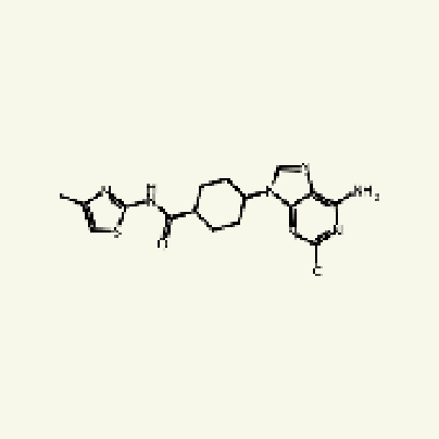 Cc1csc(NC(=O)C2CCC(n3cnc4c(N)nc(Cl)nc43)CC2)n1